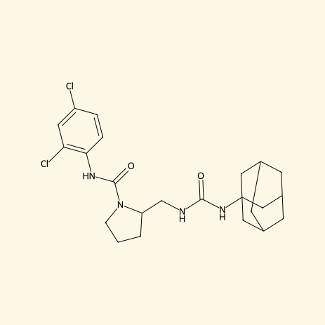 O=C(NCC1CCCN1C(=O)Nc1ccc(Cl)cc1Cl)NC12CC3CC(CC(C3)C1)C2